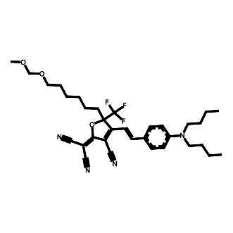 CCCCN(CCCC)c1ccc(/C=C/C2=C(C#N)C(=C(C#N)C#N)OC2(CCCCCCOCOC)C(F)(F)F)cc1